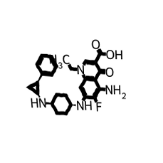 CCn1cc(C(=O)O)c(=O)c2c(N)c(F)c(N[C@H]3CC[C@H](N[C@@H]4C[C@H]4c4ccccc4)CC3)cc21